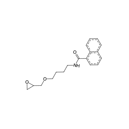 O=C(NCCCCOCC1CO1)c1cccc2ccccc12